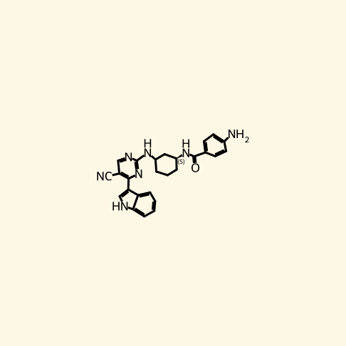 N#Cc1cnc(NC2CCC[C@H](NC(=O)c3ccc(N)cc3)C2)nc1-c1c[nH]c2ccccc12